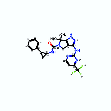 CC1(C)c2[nH]nc(Nc3nccc(C(F)(F)F)n3)c2CN1C(=O)N[C@H]1CC1c1ccccc1